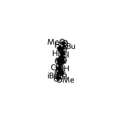 CC[C@H](C)[C@H](NC(=O)OC)C(=O)N1CCC[C@H]1c1cc(Cl)c(-c2cc3c4c(c2)OCc2cc(-c5[nH]c([C@@H]6CCCN6C(=O)[C@@H](NC(=O)OC)[C@@H](C)CC)nc5Cl)cc(c2-4)OC3)[nH]1